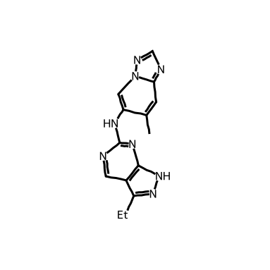 CCc1n[nH]c2nc(Nc3cn4ncnc4cc3C)ncc12